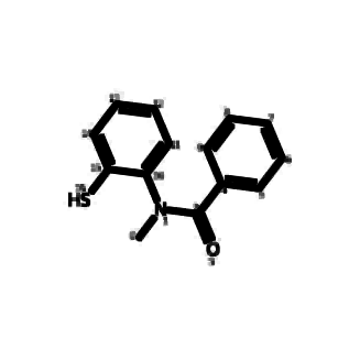 CN(C(=O)c1ccccc1)c1ccccc1S